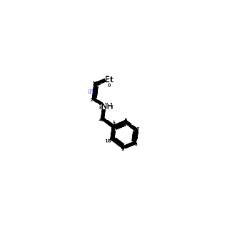 CC/C=C\NCc1ccccc1